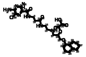 Nc1nc(N)c(C(=O)NCCC(=O)NCCNCC(COc2cccc3ccccc23)OC(=O)C(=O)O)nc1Cl